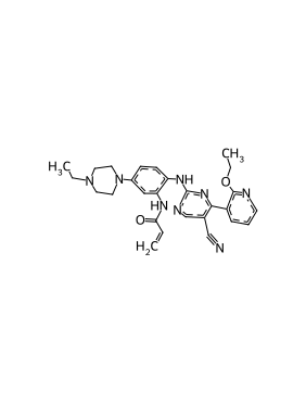 C=CC(=O)Nc1cc(N2CCN(CC)CC2)ccc1Nc1ncc(C#N)c(-c2cccnc2OCC)n1